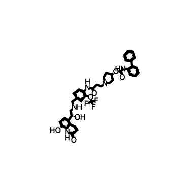 O=C(CCN1CCC(OC(=O)Nc2ccccc2-c2ccccc2)CC1)Nc1ccc(CNC[C@H](O)c2ccc(O)c3[nH]c(=O)ccc23)cc1OC(F)(F)F